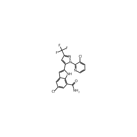 NC(=O)c1cc(Cl)cc2cc(-c3cc(C(F)(F)F)nn3-c3ncccc3Cl)[nH]c12